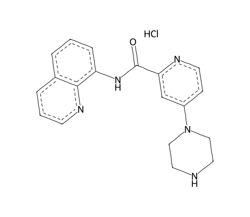 Cl.O=C(Nc1cccc2cccnc12)c1cc(N2CCNCC2)ccn1